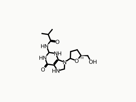 CC(C)C(=O)NC1NC(=O)C2=C(N1)N(C1CC[C@@H](CO)O1)CN2